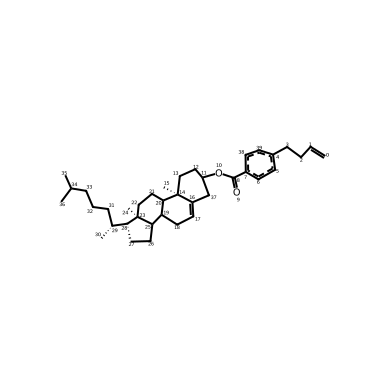 C=CCCc1ccc(C(=O)OC2CC[C@@]3(C)C(=CCC4C3CC[C@@]3(C)C4CC[C@@H]3[C@H](C)CCCC(C)C)C2)cc1